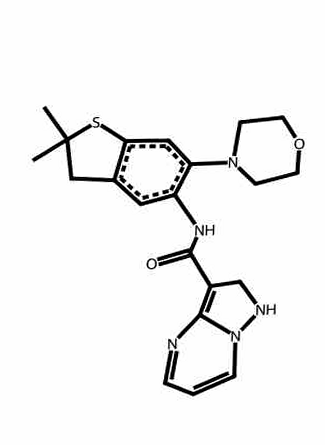 CC1(C)Cc2cc(NC(=O)C3=C4N=CC=CN4NC3)c(N3CCOCC3)cc2S1